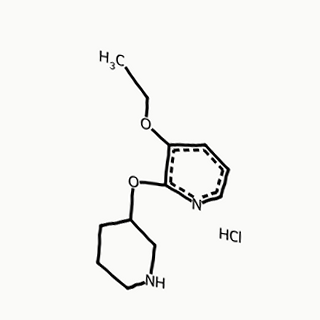 CCOc1cccnc1OC1CCCNC1.Cl